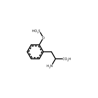 NC(Cc1ccccc1OS(=O)(=O)O)C(=O)O